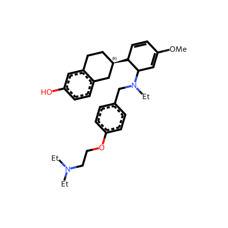 CCN(CC)CCOc1ccc(CN(CC)C2C=C(OC)C=CC2[C@@H]2CCc3cc(O)ccc3C2)cc1